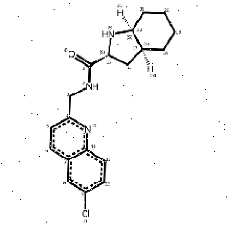 O=C(NCc1ccc2cc(Cl)ccc2n1)[C@@H]1C[C@@H]2CCCC[C@@H]2N1